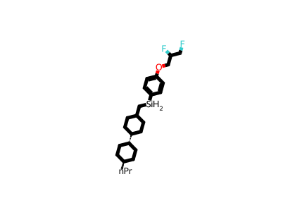 CCC[C@H]1CC[C@H](C2CCC(C[SiH2]c3ccc(OCC(F)CF)cc3)CC2)CC1